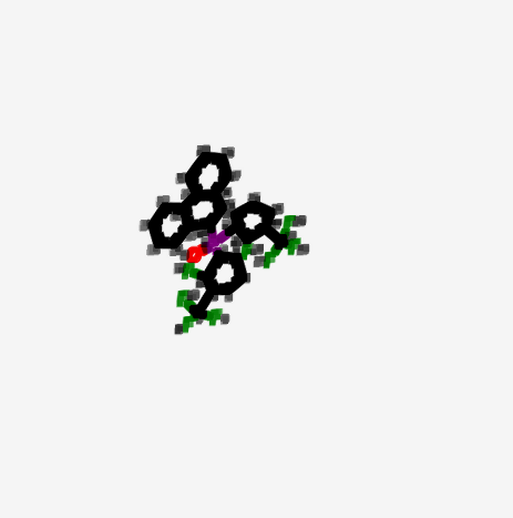 O=P(c1cccc(C(F)(F)F)c1F)(c1cccc(C(F)(F)F)c1F)c1cc2ccccc2c2ccccc12